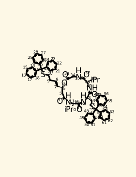 CC(C)[C@H]1NC(=O)C[C@@H](C=CCCSC(c2ccccc2)(c2ccccc2)c2ccccc2)OC(=O)CNC(=O)[C@@H](C(C)C)NC(=O)[C@@H](CSC(c2ccccc2)(c2ccccc2)c2ccccc2)NC1=O